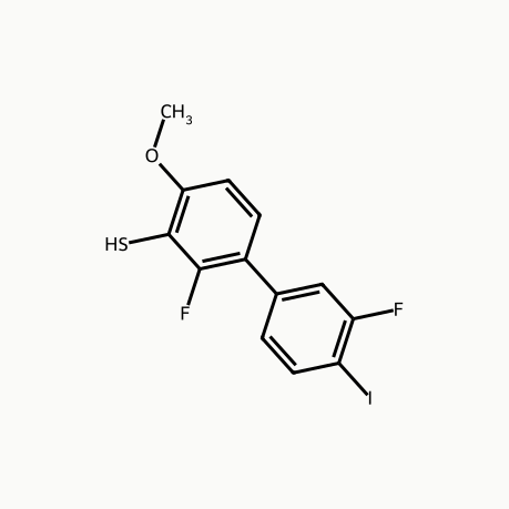 COc1ccc(-c2ccc(I)c(F)c2)c(F)c1S